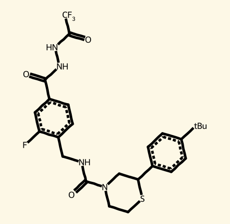 CC(C)(C)c1ccc(C2CN(C(=O)NCc3ccc(C(=O)NNC(=O)C(F)(F)F)cc3F)CCS2)cc1